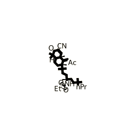 CCCC(C)(C)CC[C@@](C)(CCC(C)(C)[C@]1(C)CC[C@H]2C(C)(C)C(=O)C(C#N)=C[C@]2(C)/C1=C/C(C)=O)NS(=O)(=O)CC